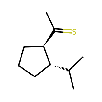 CC(=S)[C@@H]1CCC[C@H]1C(C)C